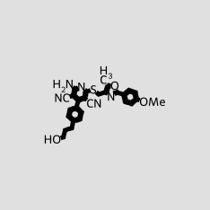 COc1ccc(-c2nc(CSc3nc(N)c(C#N)c(-c4ccc(CCCO)cc4)c3C#N)c(C)o2)cc1